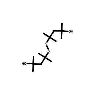 CC(C)(O)CC(C)(C)SSC(C)(C)CC(C)(C)O